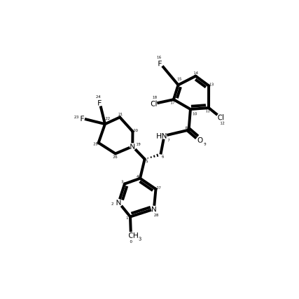 Cc1ncc([C@@H](CNC(=O)c2c(Cl)ccc(F)c2Cl)N2CCC(F)(F)CC2)cn1